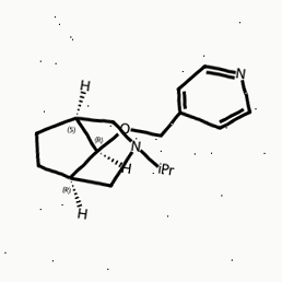 CC(C)N1C[C@H]2CC[C@@H](C1)[C@H]2OCc1ccncc1